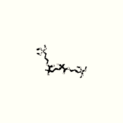 CO[Si](CCCOC(=O)C(C)(Br)CCCC(C)(Br)C(=O)OCCC[Si](OC)(OC)OC)(OC)OC